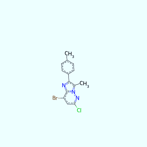 Cc1ccc(-c2nc3c(Br)cc(Cl)nn3c2C)cc1